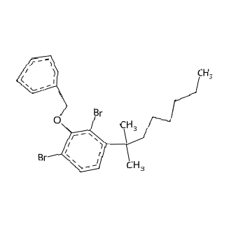 CCCCCCC(C)(C)c1ccc(Br)c(OCc2ccccc2)c1Br